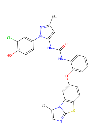 CCc1cnc2sc3ccc(Oc4ccccc4NC(=O)Nc4cc(C(C)(C)C)nn4-c4ccc(O)c(Cl)c4)cc3n12